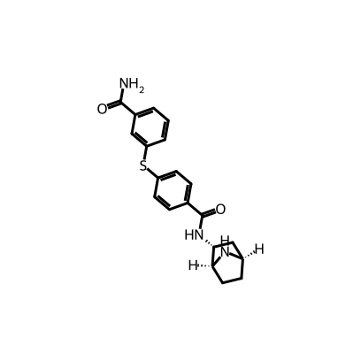 NC(=O)c1cccc(Sc2ccc(C(=O)N[C@@H]3C[C@H]4CC[C@@H]3N4)cc2)c1